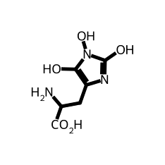 NC(Cc1nc(O)n(O)c1O)C(=O)O